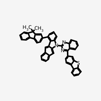 CC1(C)c2ccccc2-c2ccc(-c3cccc4c3c3cc5ccccc5cc3n4-c3nc(-c4ccc5c(c4)sc4ccccc45)c4ccccc4n3)cc21